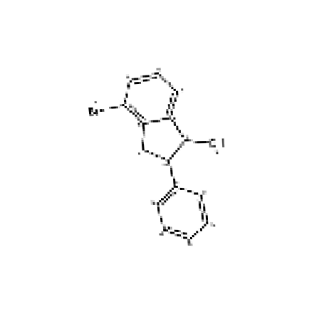 OC1c2cccc(Br)c2CC1c1ccccc1